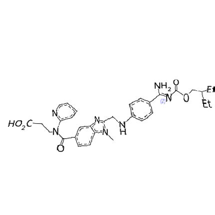 CCC(CC)COC(=O)/N=C(\N)c1ccc(NCc2nc3cc(C(=O)N(CCC(=O)O)c4ccccn4)ccc3n2C)cc1